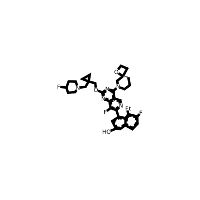 CCc1c(F)ccc2cc(O)cc(-c3ncc4c(N5CCC[C@]6(CCO6)C5)nc(OCC5(CN6CCC(F)CC6)CC5)nc4c3F)c12